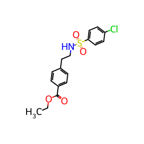 CCOC(=O)c1ccc(CCNS(=O)(=O)c2ccc(Cl)cc2)cc1